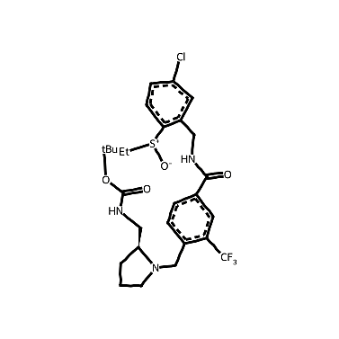 CC[S+]([O-])c1ccc(Cl)cc1CNC(=O)c1ccc(CN2CCC[C@H]2CNC(=O)OC(C)(C)C)c(C(F)(F)F)c1